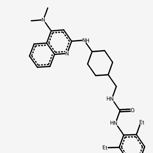 CCc1cccc(CC)c1NC(=O)NCC1CCC(Nc2cc(N(C)C)c3ccccc3n2)CC1